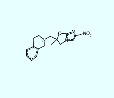 CC1(CN2CCc3ccccc3C2)Cn2cc([N+](=O)[O-])nc2O1